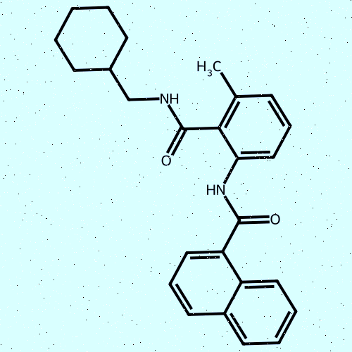 Cc1cccc(NC(=O)c2cccc3ccccc23)c1C(=O)NCC1CCCCC1